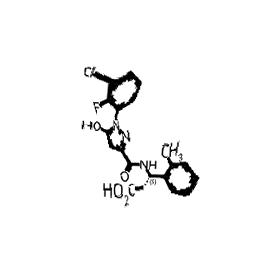 Cc1ccccc1[C@H](CC(=O)O)NC(=O)c1cc(O)n(-c2cccc(Cl)c2F)n1